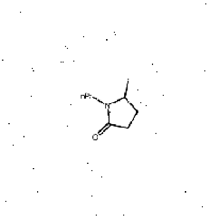 CCCN1C(=O)CCC1C